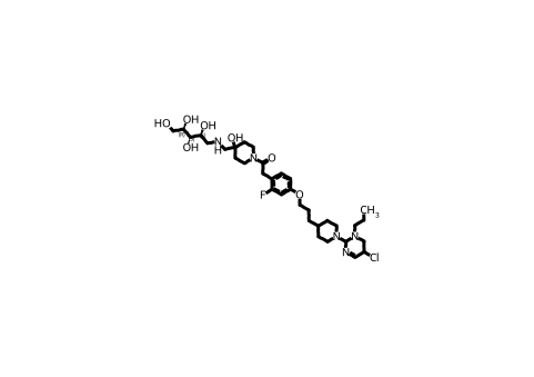 CCCN1CC(Cl)C=NC1N1CCC(CCCOc2ccc(CC(=O)N3CCC(O)(CNC[C@H](O)[C@H](O)[C@H](O)CO)CC3)c(F)c2)CC1